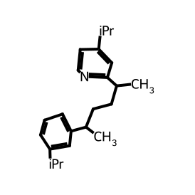 CC(C)c1cccc(C(C)CCC(C)c2cc(C(C)C)ccn2)c1